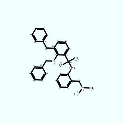 CN(C)Cc1ccccc1PC(C)(C)c1cccc(Cc2ccccc2)c1OCc1ccccc1